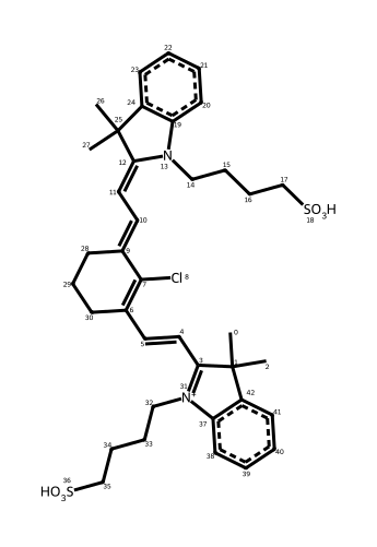 CC1(C)C(/C=C/C2=C(Cl)C(=C/C=C3\N(CCCCS(=O)(=O)O)c4ccccc4C3(C)C)/CCC2)=[N+](CCCCS(=O)(=O)O)c2ccccc21